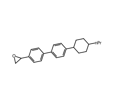 CCCC1CCC(c2ccc(-c3ccc(C4CO4)cc3)cc2)CC1